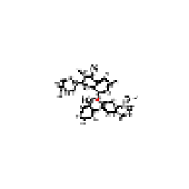 Cc1cc(C(C)Nc2ccccc2-c2ccc3c(c2)C=NOB3O)c2oc(N3CCC(C)(C)CC3)c(C)c(=O)c2c1